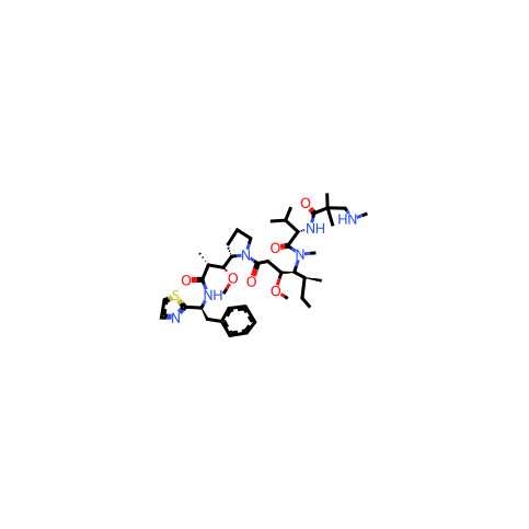 CC[C@H](C)[C@@H](C(CC(=O)N1CCC[C@H]1[C@H](OC)[C@@H](C)C(=O)N[C@@H](Cc1ccccc1)c1nccs1)OC)N(C)C(=O)[C@@H](NC(=O)C(C)(C)CNC)C(C)C